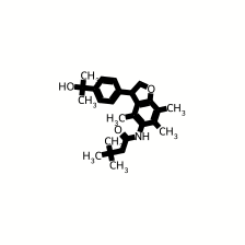 Cc1c(C)c2c(c(C)c1NC(=O)CC(C)(C)C)C(c1ccc(C(C)(C)O)cc1)CO2